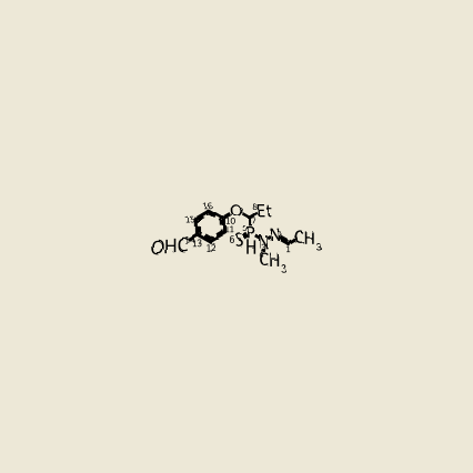 C/C=N/N(C)[PH](=S)C(CC)Oc1ccc(C=O)cc1